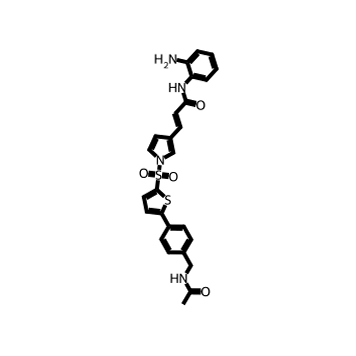 CC(=O)NCc1ccc(-c2ccc(S(=O)(=O)n3ccc(/C=C/C(=O)Nc4ccccc4N)c3)s2)cc1